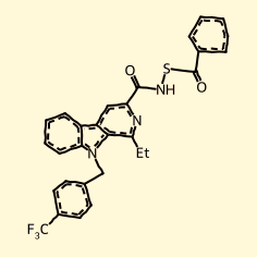 CCc1nc(C(=O)NSC(=O)c2ccccc2)cc2c3ccccc3n(Cc3ccc(C(F)(F)F)cc3)c12